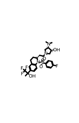 CN(C)[C@H]1CN(C(=O)C[C@@H]2CCc3cc(C(C)(O)C(F)(F)F)ccc3N2S(=O)(=O)c2ccc(F)cc2)C[C@@H]1O